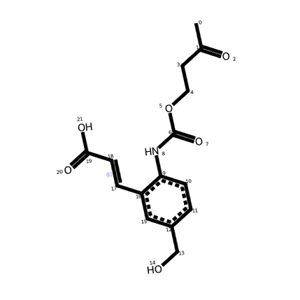 CC(=O)CCOC(=O)Nc1ccc(CO)cc1/C=C/C(=O)O